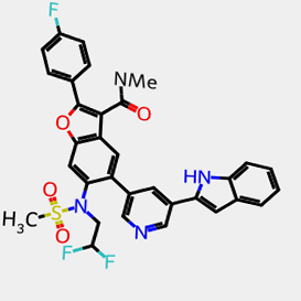 CNC(=O)c1c(-c2ccc(F)cc2)oc2cc(N(CC(F)F)S(C)(=O)=O)c(-c3cncc(-c4cc5ccccc5[nH]4)c3)cc12